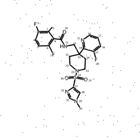 Cc1c(F)ccc(F)c1C(=O)NCC1(c2ncccc2F)CCN(S(=O)(=O)c2cn(C)cn2)CC1